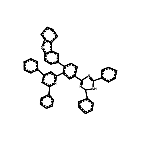 c1ccc(C2=NC(c3ccc(-c4ccc5sc6ccccc6c5c4)c(-c4cc(-c5ccccc5)cc(-c5ccccc5)n4)c3)=NC(c3ccccc3)N2)cc1